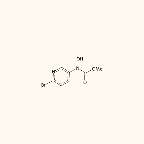 COC(=O)N(O)c1ccc(Br)nc1